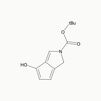 CC(C)(C)OC(=O)N1C=C2C(O)=CC=C2C1